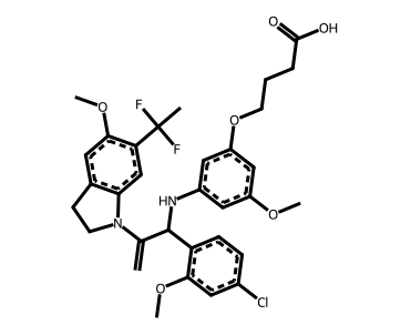 C=C(C(Nc1cc(OC)cc(OCCCC(=O)O)c1)c1ccc(Cl)cc1OC)N1CCc2cc(OC)c(C(C)(F)F)cc21